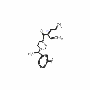 C=C/C=C(\C=C)C(=O)N1CCN(C(=C)c2cccc(F)c2)CC1